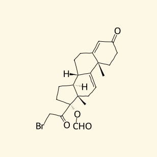 C[C@]12CCC(=O)C=C1CC[C@@H]1C2=CC[C@@]2(C)[C@H]1CC[C@]2(OC=O)C(=O)CBr